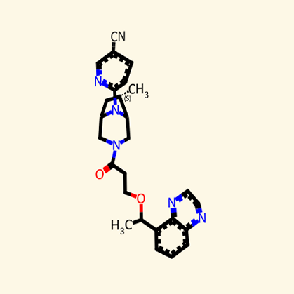 CC(OCCC(=O)N1CC2C[C@H](C)C(C1)N2c1ccc(C#N)cn1)c1cccc2nccnc12